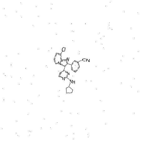 N#Cc1cccc(-c2nc3c(Cl)cccn3c2-c2ccnc(NC3CCCC3)n2)c1